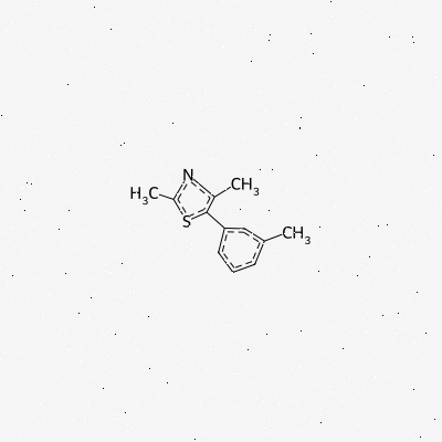 Cc1cccc(-c2sc(C)nc2C)c1